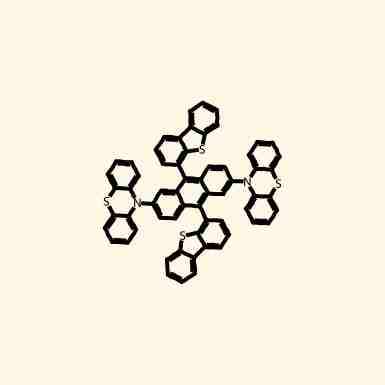 c1ccc2c(c1)Sc1ccccc1N2c1ccc2c(-c3cccc4c3sc3ccccc34)c3cc(N4c5ccccc5Sc5ccccc54)ccc3c(-c3cccc4c3sc3ccccc34)c2c1